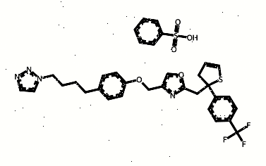 FC(F)(F)c1ccc(C2(Cc3nc(COc4ccc(CCCCn5ccnn5)cc4)co3)CC=CS2)cc1.O=S(=O)(O)c1ccccc1